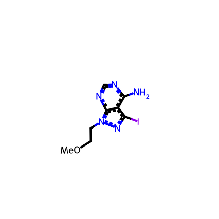 COCCn1nc(I)c2c(N)ncnc21